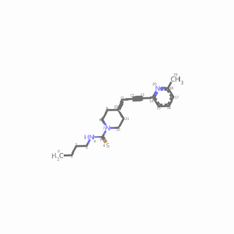 CCCCNC(=S)N1CCC(=CC#Cc2cccc(C)n2)CC1